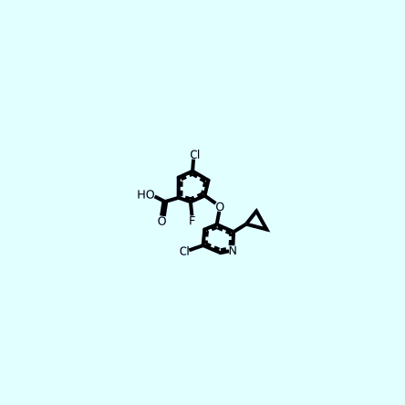 O=C(O)c1cc(Cl)cc(Oc2cc(Cl)cnc2C2CC2)c1F